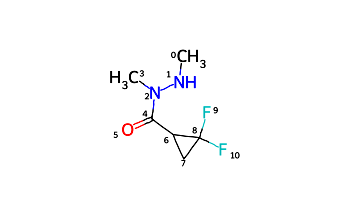 CNN(C)C(=O)C1CC1(F)F